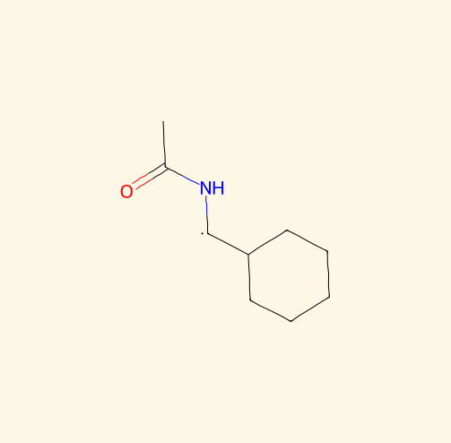 CC(=O)N[CH]C1CCCCC1